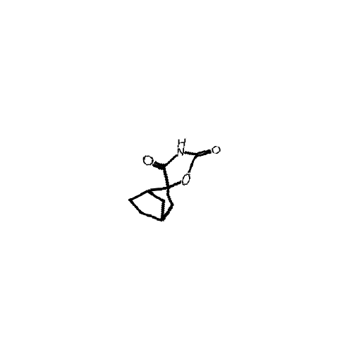 O=C1NC(=O)C2(CC3CCC2C3)O1